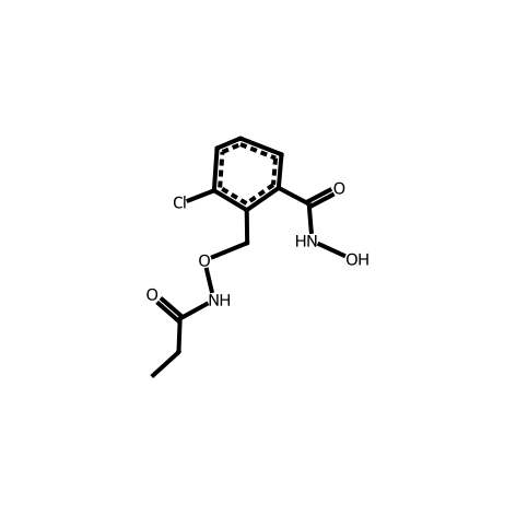 CCC(=O)NOCc1c(Cl)cccc1C(=O)NO